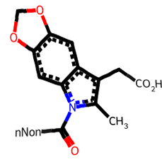 CCCCCCCCCC(=O)n1c(C)c(CC(=O)O)c2cc3c(cc21)OCO3